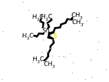 CCC[CH2][Sn]([CH2]CCC)([CH2]CCC)[c]1cc(CCCCCC(C)C)sc1CCCCCC(C)C